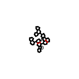 c1ccc(-c2ccc(-c3cc4ccccc4c4ccccc34)cc2N(c2ccc(-c3cccc4ccccc34)cc2)c2ccccc2-c2cccc3c2oc2ccccc23)cc1